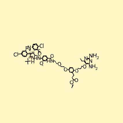 CCOC(=O)CCc1cc(OCCOCCNC(=O)c2ccc(NC(=O)C3N[C@H](CC(C)(C)C)[C@@](C#N)(c4ccc(Cl)cc4F)[C@@H]3c3cccc(Cl)c3F)c(OC)c2)ccc1OCCCOc1c(N)nc(N)nc1CC